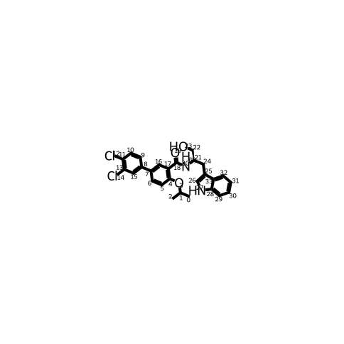 CC(C)Oc1ccc(-c2ccc(Cl)c(Cl)c2)cc1C(=O)N[C@@H](CO)Cc1c[nH]c2ccccc12